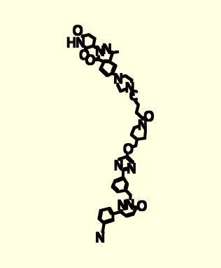 Cc1nn(C2CCC(=O)NC2=O)c(=O)c2ccc(N3CCN(CCCCC(=O)N4CCC(COc5cnc(-c6cccc(Cn7nc(-c8cccc(C#N)c8)ccc7=O)c6)nc5)CC4)CC3)cc12